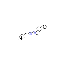 C=C/C(=C\C=C\CCC1CCN(C)CC1)C1=CCC(C=O)CC1